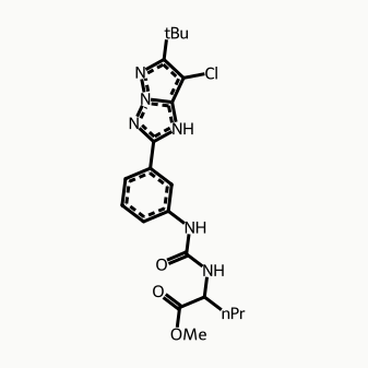 CCCC(NC(=O)Nc1cccc(-c2nn3nc(C(C)(C)C)c(Cl)c3[nH]2)c1)C(=O)OC